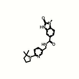 Cn1c(=O)[nH]c2cc(C(=O)NCc3ccc(N4CCCC4(C)C)nc3)ccc21